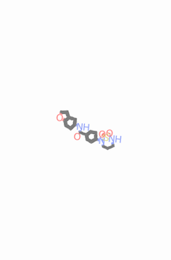 O=C(Nc1ccc2occc2c1)c1ccc(N2CCCNS2(=O)=O)cc1